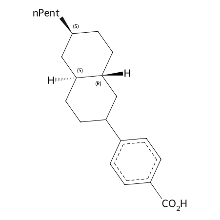 CCCCC[C@H]1CC[C@@H]2CC(c3ccc(C(=O)O)cc3)CC[C@H]2C1